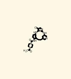 CC(=O)N1CCN(C(=O)Nc2ccc3cc2CCc2cncc(c2)Nc2ncc(Cl)c(n2)N3)CC1